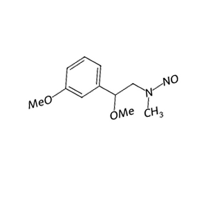 COc1cccc(C(CN(C)N=O)OC)c1